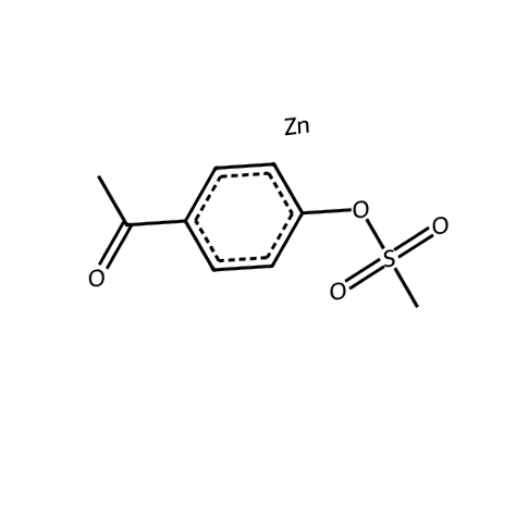 CC(=O)c1ccc(OS(C)(=O)=O)cc1.[Zn]